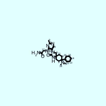 Cc1ncc(N2CC3(CCC(c4ccccc4)(N(C)C)CC3)NC2=O)c(NCC(N)=O)n1